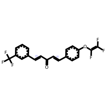 O=C(/C=C/c1ccc(OC(F)=C(F)F)cc1)/C=C/c1cccc(C(F)(F)F)c1